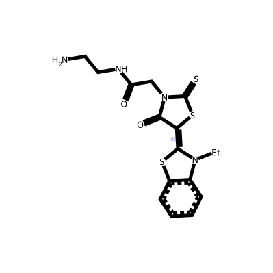 CCN1/C(=C2\SC(=S)N(CC(=O)NCCN)C2=O)Sc2ccccc21